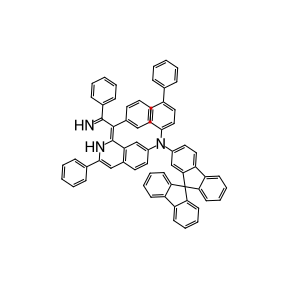 N=C(/C(=C1\NC(c2ccccc2)=Cc2ccc(N(c3ccc(-c4ccccc4)cc3)c3ccc4c(c3)C3(c5ccccc5-c5ccccc53)c3ccccc3-4)cc21)c1ccccc1)c1ccccc1